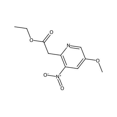 CCOC(=O)Cc1ncc(OC)cc1[N+](=O)[O-]